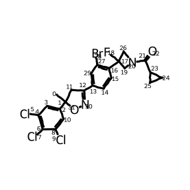 CC1(c2cc(Cl)c(Cl)c(Cl)c2)CC(c2ccc(C3(F)CN(C(=O)C4CC4)C3)c(Br)c2)=NO1